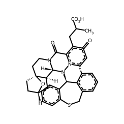 CC(Cc1c2n(ccc1=O)N([C@@H]1c3ccccc3SCc3cccc(F)c31)[C@@H]1[C@H]3C[C@@H]4CC[C@@]3(CCN1C2=O)O4)C(=O)O